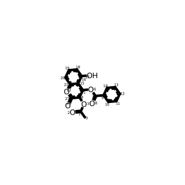 CC(=O)Oc1c(OC(=O)c2ccccc2)c2c(O)cccc2oc1=O